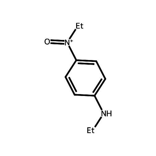 CCNc1ccc([N+](=O)CC)cc1